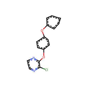 Clc1nccnc1Oc1ccc(Oc2ccccc2)cc1